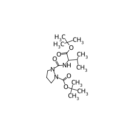 CC(C)C(NC(=O)N1CCCN1C(=O)OC(C)(C)C)C(=O)OC(C)(C)C